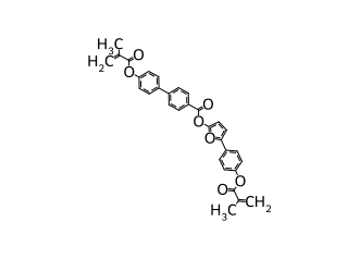 C=C(C)C(=O)Oc1ccc(-c2ccc(C(=O)Oc3ccc(-c4ccc(OC(=O)C(=C)C)cc4)o3)cc2)cc1